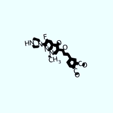 CCn1cc(C(=O)C=Cc2ccc(=C=O)c(=C=O)c2)c(=O)c2cc(F)c(N3CCNCC3)nc21